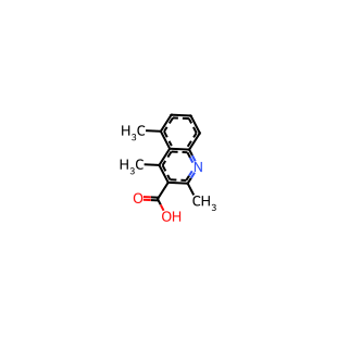 Cc1nc2cccc(C)c2c(C)c1C(=O)O